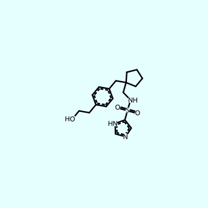 O=S(=O)(NCC1(Cc2ccc(CCO)cc2)CCCC1)c1cnc[nH]1